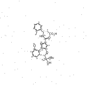 Cc1ccccc1[C@H](CC(=O)O)NC(=O)c1cc(OC[C@@](C)(O)C(C)(C)C)n(-c2ccccc2Cl)n1